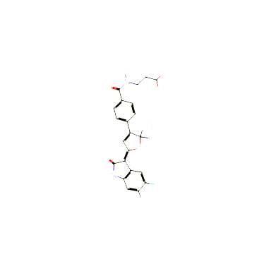 CN(CCC(O)O)C(=O)c1ccc(C2=C/C(=C3\C(=O)Nc4cc(C(=O)O)c(F)cc43)OC2(C)C)cc1